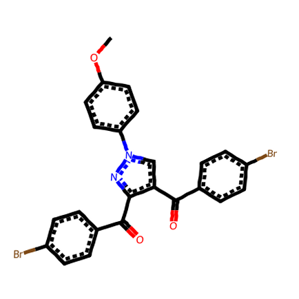 COc1ccc(-n2cc(C(=O)c3ccc(Br)cc3)c(C(=O)c3ccc(Br)cc3)n2)cc1